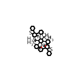 CC(C)c1c(-c2ccccc2F)c(-n2c3ccccc3c3c4c(ccc32)sc2ccccc24)c(-c2ccccc2F)c(C(C)C)c1-n1c2ccccc2c2c3c(ccc21)sc1ccccc13